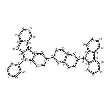 c1ccc(-n2c3ccc(-c4ccc5cc(-n6c7ccccc7c7ccccc76)ccc5c4)cc3c3c4ccccc4oc32)cc1